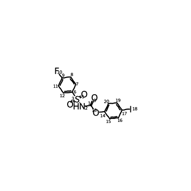 O=C(NS(=O)(=O)c1ccc(F)cc1)Oc1ccc(I)cc1